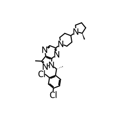 Cc1nn([C@H](C)c2ccc(Cl)cc2Cl)c2nc(N3CCC(N4CCC[C@H]4C)CC3)cnc12